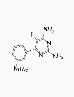 CC(=O)Nc1cccc(-c2nc(N)nc(N)c2F)c1